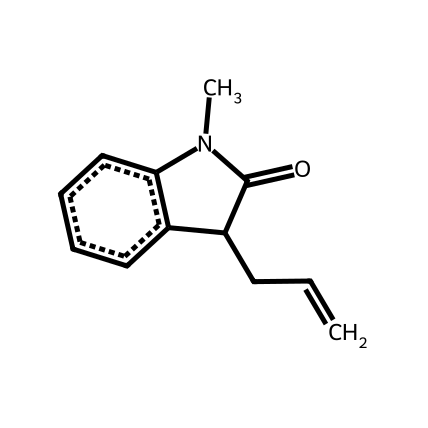 C=CCC1C(=O)N(C)c2ccccc21